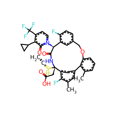 C=C=[SH][C@]1(CC(=O)O)NC(=O)[C@@H](n2ccc(C(F)(F)F)c(C3CC3)c2=O)c2cc(ccc2F)COc2cccc(C)c2-c2cc(C)c(F)c1c2